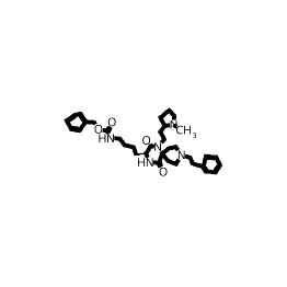 CN1CCCC1CCN1C(=O)[C@H](CCCCNC(=O)OCc2ccccc2)NC(=O)C12CCN(CCc1ccccc1)CC2